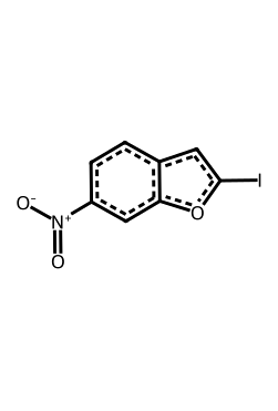 O=[N+]([O-])c1ccc2cc(I)oc2c1